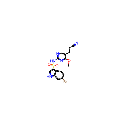 COc1nc(NS(=O)(=O)c2c[nH]c3cc(Br)ccc23)ncc1CCC#N